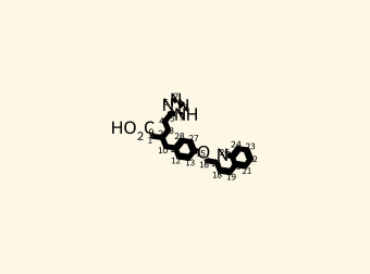 O=C(O)CC(CCc1nnn[nH]1)Cc1ccc(OCc2ccc3ccccc3n2)cc1